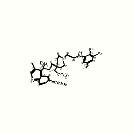 COc1ccc2ncc(C)c(C(O)CCC3(CC(=O)O)CCN(CCNc4cc(F)cc(F)c4F)CC3)c2c1